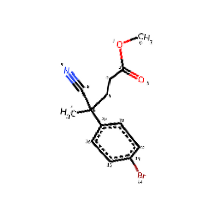 COC(=O)CCC(C)(C#N)c1ccc(Br)cc1